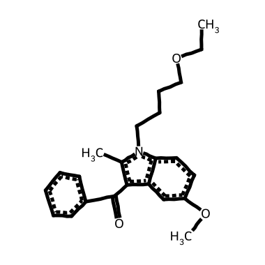 CCOCCCCn1c(C)c(C(=O)c2ccccc2)c2cc(OC)ccc21